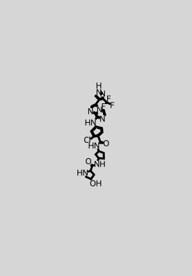 O=C(NC1CCC(NC(=O)C2CC(O)CN2)C1)c1ccc(Nc2nccn3c(-c4c[nH]nc4C(F)(F)F)cnc23)cc1Cl